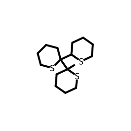 CC1(C2(C3CCCCS3)CCCCS2)CCCCS1